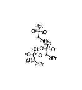 CCP(=O)([O-])CC(C)C.CCP(=O)([O-])CC(C)C.CCP(=O)([O-])CC(C)C.[Al+3]